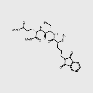 CNC(=O)[C@H](CCC(=O)OC)NC(=O)[C@H](CC(C)C)NC(=O)C(CCCN1C(=O)c2ccccc2C1=O)SC(C)=O